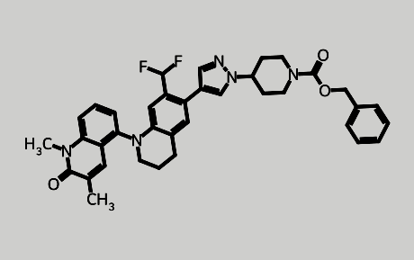 Cc1cc2c(N3CCCc4cc(-c5cnn(C6CCN(C(=O)OCc7ccccc7)CC6)c5)c(C(F)F)cc43)cccc2n(C)c1=O